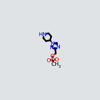 CS(=O)(=O)OCc1ncn(C2CCNCC2)n1